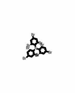 Brc1cc(Br)c(N(c2c(Br)cc(Br)cc2Br)c2c(Br)cc(Br)cc2Br)c(Br)c1